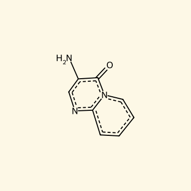 Nc1cnc2ccccn2c1=O